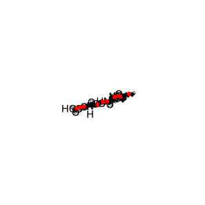 CCCCCc1cccc(S(=O)(=O)Nc2ncc(C(=O)NCCOCCOCC(=O)NCCOCCOCC(=O)O)cn2)c1